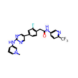 CN1C=C=CC(Nc2ncc(-c3ccc(CC(=O)Nc4ccc(C(F)(F)F)nc4)c(F)c3)cn2)=C1